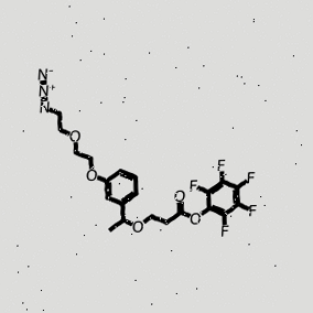 CC(OCCC(=O)Oc1c(F)c(F)c(F)c(F)c1F)c1cccc(OCCOCCN=[N+]=[N-])c1